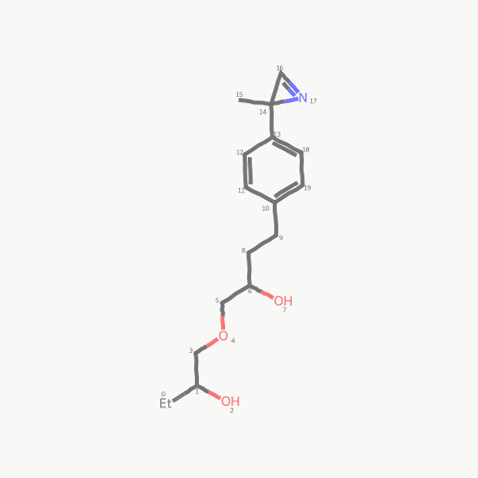 CCC(O)COCC(O)CCc1ccc(C2(C)C=N2)cc1